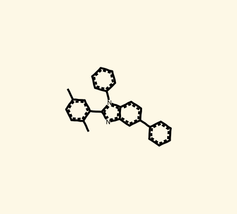 Cc1ccc(C)c(-c2nc3cc(-c4ccccc4)ccc3n2-c2ccccc2)c1